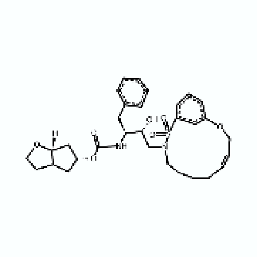 O=C(N[C@@H](Cc1ccccc1)[C@H](O)CN1CCCC/C=C\COc2cccc(c2)S1(=O)=O)O[C@@H]1CC2CCO[C@@H]2C1